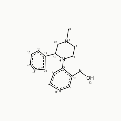 CN1CCN(c2ccncc2CO)C(c2ccccc2)C1